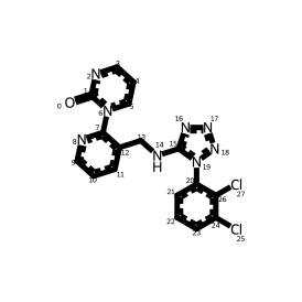 O=c1ncccn1-c1ncccc1CNc1nnnn1-c1cccc(Cl)c1Cl